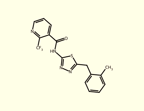 Cc1ccccc1Cc1nnc(NC(=O)c2cccnc2C(F)(F)F)s1